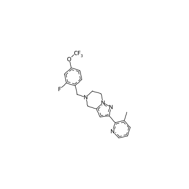 Cc1cccnc1-c1cc2n(n1)CCN(Cc1ccc(OC(F)(F)F)cc1F)C2